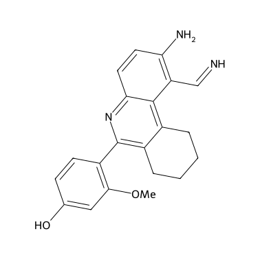 COc1cc(O)ccc1-c1nc2ccc(N)c(C=N)c2c2c1CCCC2